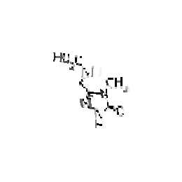 Cn1c(CNC(=O)O)n[nH]c1=O